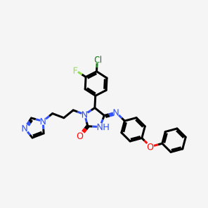 O=C1NC(=Nc2ccc(Oc3ccccc3)cc2)C(c2ccc(Cl)c(F)c2)N1CCCn1ccnc1